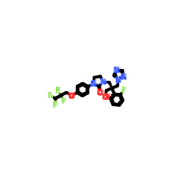 O=C1N(C[C@@](CO)(Cn2cncn2)c2ccccc2F)CCN1c1ccc(OCC(F)(F)C(F)F)cc1